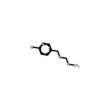 COCOCc1ccc(Cl)nc1